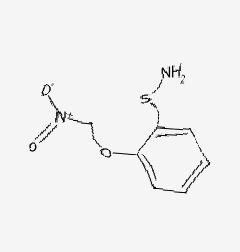 NSc1ccccc1OC[N+](=O)[O-]